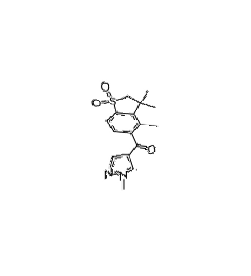 Cc1c(C(=O)c2[c]n(C)nc2)ccc2c1C(C)(C)CS2(=O)=O